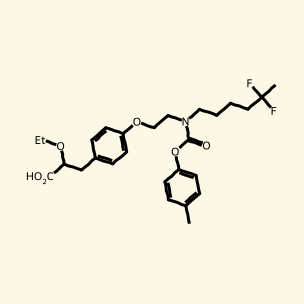 CCOC(Cc1ccc(OCCN(CCCCC(C)(F)F)C(=O)Oc2ccc(C)cc2)cc1)C(=O)O